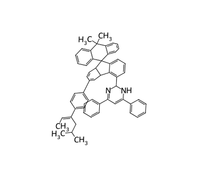 C/C=C(\CC(C)C)c1ccc(C2=CC3c4c(C5N=C(c6ccccc6)C=C(c6ccccc6)N5)cccc4C4(c5ccccc5C(C)(C)c5ccccc54)C3C=C2)cc1